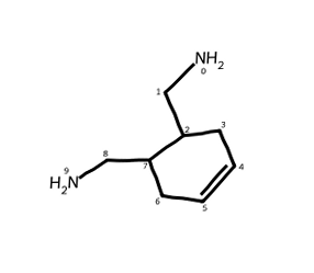 NCC1CC=CCC1CN